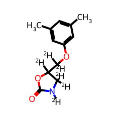 [2H]N1C(=O)OC([2H])(C([2H])([2H])Oc2cc(C)cc(C)c2)C1([2H])[2H]